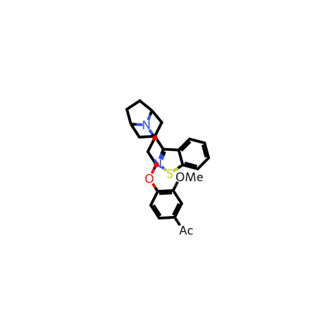 COc1cc(C(C)=O)ccc1OCCCN1C2CCC1CC(c1nsc3ccccc13)C2